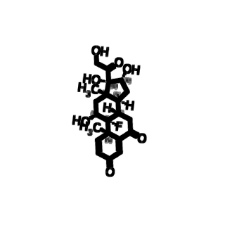 C[C@]12C=CC(=O)C=C1C(=O)C[C@H]1[C@@H]3C[C@@H](O)[C@](O)(C(=O)CO)[C@@]3(C)C[C@H](O)[C@@]12F